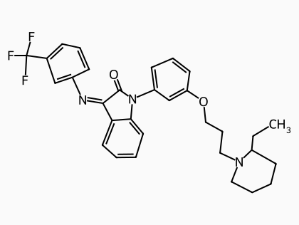 CCC1CCCCN1CCCOc1cccc(N2C(=O)C(=Nc3cccc(C(F)(F)F)c3)c3ccccc32)c1